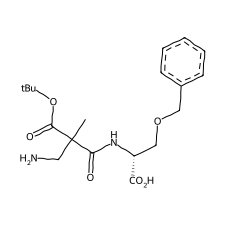 CC(C)(C)OC(=O)C(C)(CN)C(=O)N[C@H](COCc1ccccc1)C(=O)O